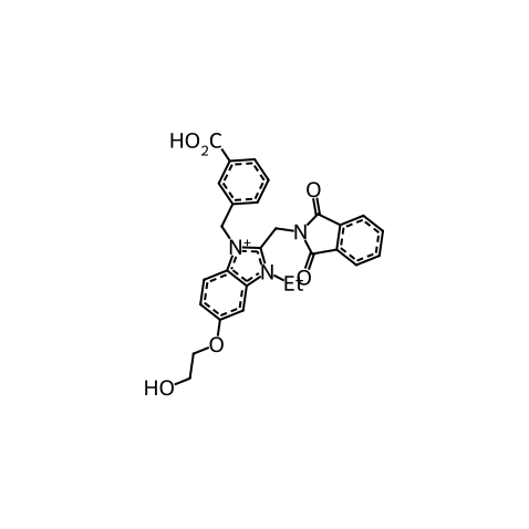 CCn1c(CN2C(=O)c3ccccc3C2=O)[n+](Cc2cccc(C(=O)O)c2)c2ccc(OCCO)cc21